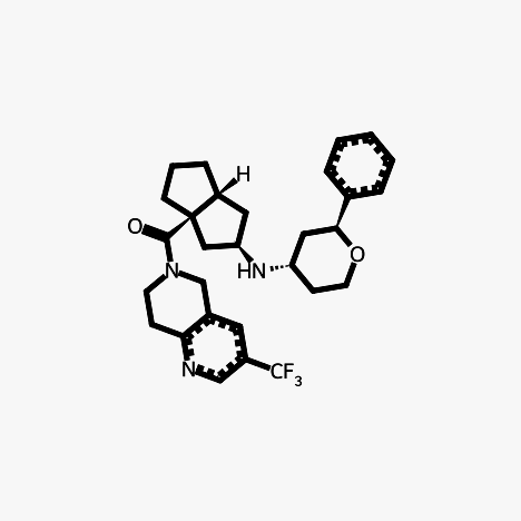 O=C(N1CCc2ncc(C(F)(F)F)cc2C1)[C@@]12CCC[C@@H]1C[C@@H](N[C@H]1CCO[C@H](c3ccccc3)C1)C2